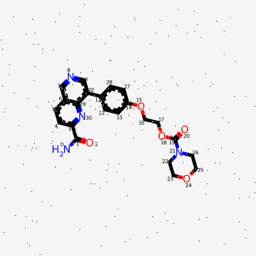 NC(=O)c1ccc2cncc(-c3ccc(OCCOC(=O)N4CCOCC4)cc3)c2n1